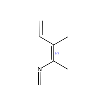 C=C/C(C)=C(/C)N=C